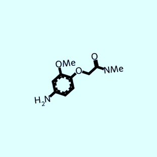 CNC(=O)COc1ccc(N)cc1OC